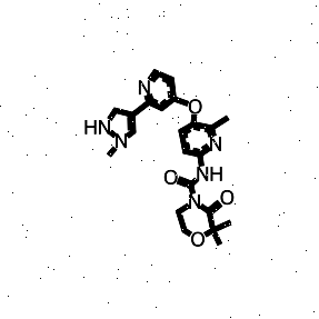 Cc1nc(NC(=O)N2CCOC(C)(C)C2=O)ccc1Oc1ccnc(C2=CN(C)NC2)c1